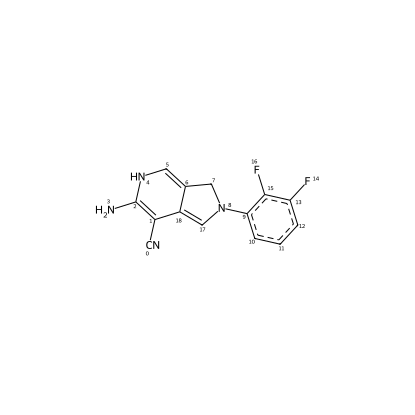 N#CC1=C(N)NC=C2CN(c3cccc(F)c3F)C=C21